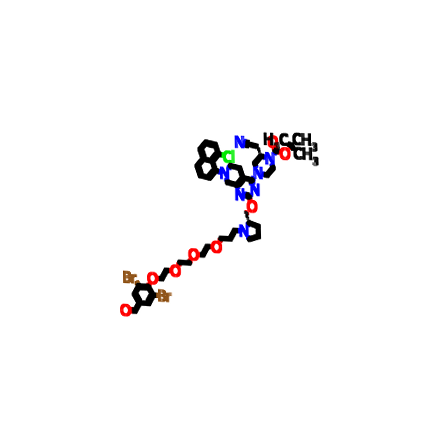 CC(C)(C)OC(=O)N1CCN(c2nc(OC[C@@H]3CCCN3CCCOCCOCCOCCOc3c(Br)cc(C=O)cc3Br)nc3c2CCN(c2cccc4cccc(Cl)c24)C3)C[C@@H]1CC#N